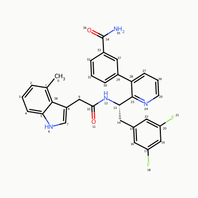 Cc1cccc2[nH]cc(CC(=O)N[C@@H](Cc3cc(F)cc(F)c3)c3ncccc3-c3cccc(C(N)=O)c3)c12